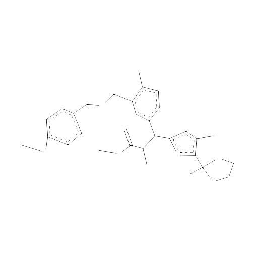 COC(=O)C(C)C(c1ccc(C)c(COCc2ccc(OC)cc2)c1)c1cc(F)c(C2(C)OCCO2)s1